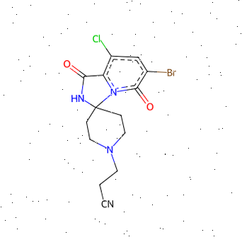 N#CCCN1CCC2(CC1)NC(=O)c1c(Cl)cc(Br)c(=O)n12